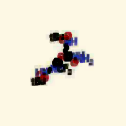 CC(C)(C)OC(=O)NCCCc1cc(NC(N)=O)ccc1Oc1ccc(NCCNC(=O)OC(C)(C)C)c(C(F)(F)F)c1